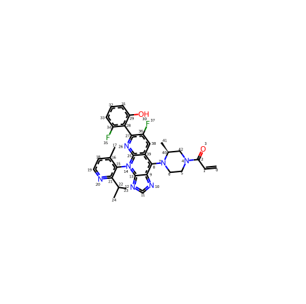 C=CC(=O)N1CCN(c2c3ncnc-3n(-c3c(C)ccnc3C(C)C)c3nc(-c4c(O)cccc4F)c(F)cc23)[C@@H](C)C1